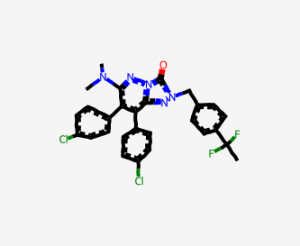 CN(C)c1nn2c(=O)n(Cc3ccc(C(C)(F)F)cc3)nc2c(-c2ccc(Cl)cc2)c1-c1ccc(Cl)cc1